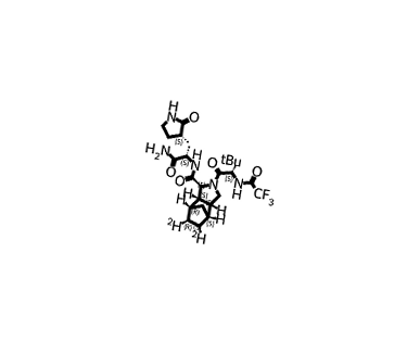 [2H][C@@H]1[C@H]([2H])[C@@H]2C[C@H]1[C@H]1[C@@H]2CN(C(=O)[C@@H](NC(=O)C(F)(F)F)C(C)(C)C)[C@@H]1C(=O)N[C@@H](C[C@@H]1CCNC1=O)C(N)=O